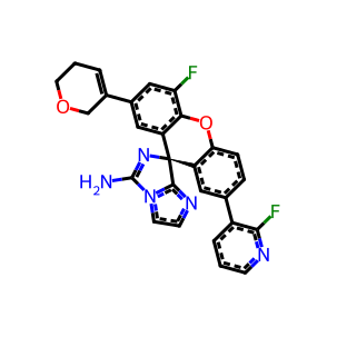 NC1=N[C@@]2(c3cc(-c4cccnc4F)ccc3Oc3c(F)cc(C4=CCCOC4)cc32)c2nccn21